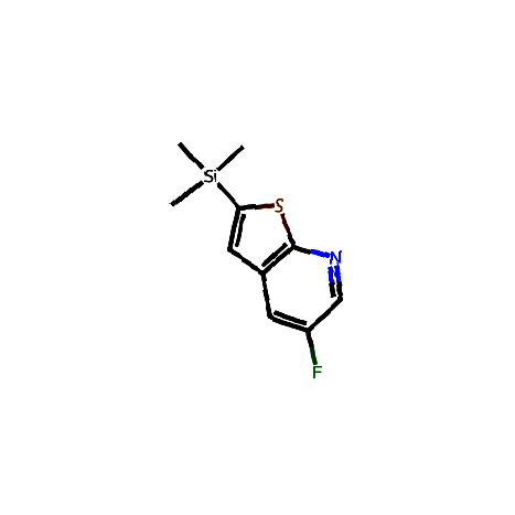 C[Si](C)(C)c1cc2cc(F)cnc2s1